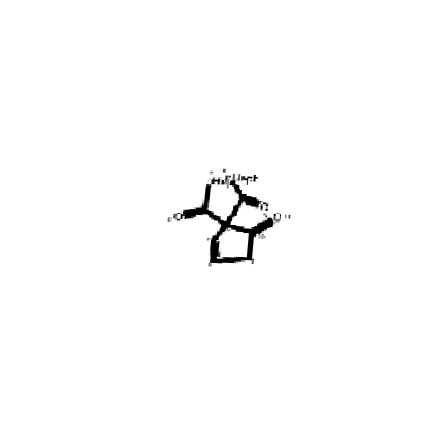 CCCCCCCC(=O)C1(C(=O)CCCCCCC)C=CCC1=O